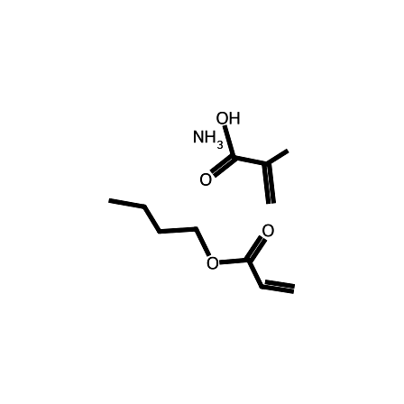 C=C(C)C(=O)O.C=CC(=O)OCCCC.N